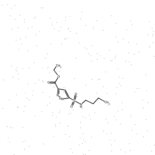 CCCCNS(=O)(=O)c1cc(C(=O)OCC)n[nH]1